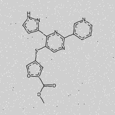 COC(=O)c1cc(Sc2cnc(-c3cccnc3)nc2-c2cc[nH]n2)co1